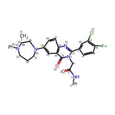 CC(C)NC(=O)Cn1c(-c2ccc(F)c(Cl)c2)nc2ccc(N3CCCN(C(C)C)[C@H](C)C3)cc2c1=O